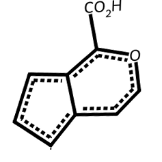 O=C(O)c1occc2[c]ccc1-2